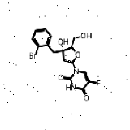 O=c1[nH]c(=O)n([C@H]2C[C@@](O)(Cc3ccccc3Br)[C@@H](CO)O2)cc1F